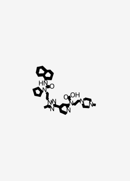 Cc1nc(-c2ccnc(N(CCN3CCN(C)CC3)C(=O)O)c2)nn1CCN(C(=O)Nc1cccc2ccccc12)C1CCCC1